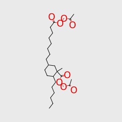 CCCCCCC1CCC(CCCCCCCC(=O)OOC(C)=O)CC1(C)C(=O)OOC(C)=O